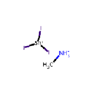 C[NH3+].[I][Sn+]([I])[I]